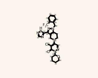 O=c1c(Cl)c(N2CCc3c(c(-c4ncn[nH]4)nn3Cc3ccccc3C(F)(F)F)C2)cnn1C1CCCCO1